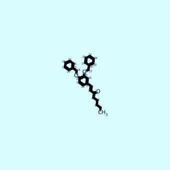 CCCCCC(=O)C=Cc1ccc(OCc2ccccc2)c(OCc2ccccc2)c1